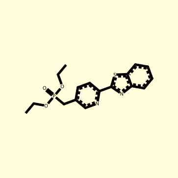 CCOP(=O)(Cc1ccc(-c2nc3ccccc3s2)nc1)OCC